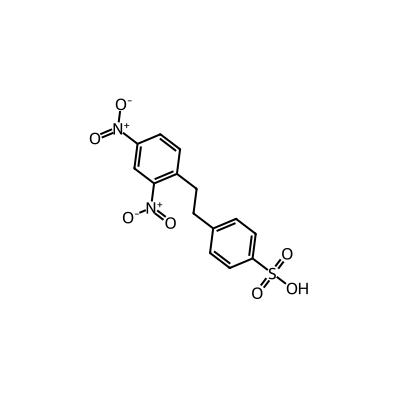 O=[N+]([O-])c1ccc(CCc2ccc(S(=O)(=O)O)cc2)c([N+](=O)[O-])c1